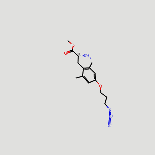 COC(=O)[C@H](N)Cc1c(C)cc(OCCCN=[N+]=[N-])cc1C